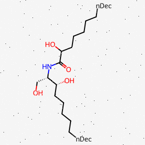 CCCCCCCCCCCCCCCC(O)C(=O)N[C@@H](CO)[C@H](O)CCCCCCCCCCCCCCC